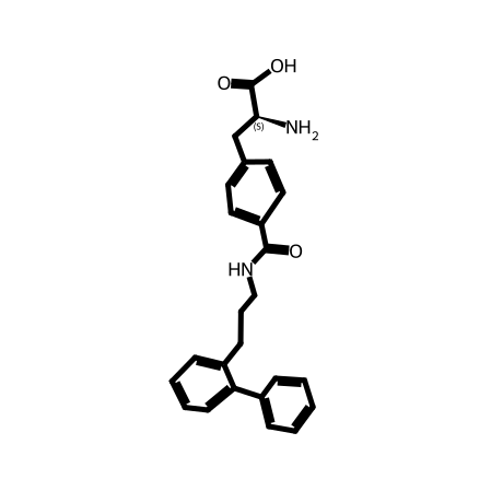 N[C@@H](Cc1ccc(C(=O)NCCCc2ccccc2-c2ccccc2)cc1)C(=O)O